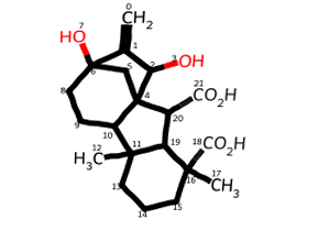 C=C1C(O)C23CC1(O)CCC2C1(C)CCCC(C)(C(=O)O)C1C3C(=O)O